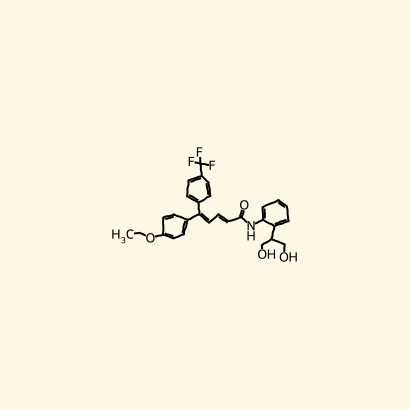 CCOc1ccc(C(=CC=CC(=O)Nc2ccccc2C(CO)CO)c2ccc(C(F)(F)F)cc2)cc1